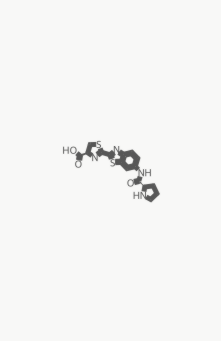 O=C(Nc1ccc2nc(C3=N[C@@H](C(=O)O)CS3)sc2c1)[C@@H]1CCCN1